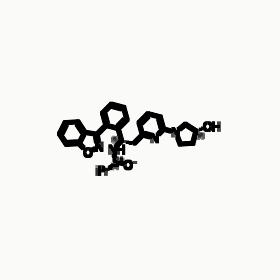 CC(C)[S@+]([O-])N[C@@H](Cc1cccc(N2CC[C@@H](O)C2)n1)c1ccccc1-c1noc2ccccc12